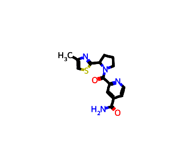 Cc1csc(C2CCCN2C(=O)c2cc(C(N)=O)ccn2)n1